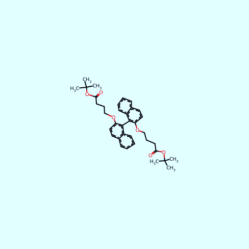 CC(C)(C)OC(=O)CCCOc1ccc2ccccc2c1-c1c(OCCCC(=O)OC(C)(C)C)ccc2ccccc12